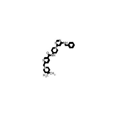 CC1(C)CCN(Cc2ccc(C(=O)NC3CCN(c4cc(NCc5ccccc5)ncn4)CC3)cn2)CC1